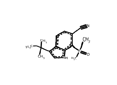 CC(C)(C)c1c[nH]c2c(P(C)(C)=O)c(C#N)ccc12